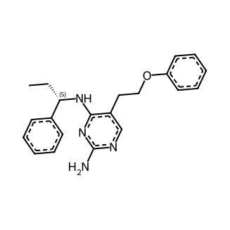 CC[C@H](Nc1nc(N)ncc1CCOc1ccccc1)c1ccccc1